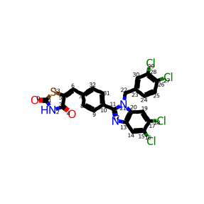 O=C1NC(=O)/C(=C\c2ccc(-c3nc4cc(Cl)c(Cl)cc4n3Cc3ccc(Cl)c(Cl)c3)cc2)S1